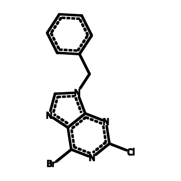 Clc1nc(Br)c2ncn(Cc3ccccc3)c2n1